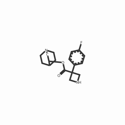 O=C(OC1CN2CCC1CC2)C1(c2ccc(F)cc2)CNC1